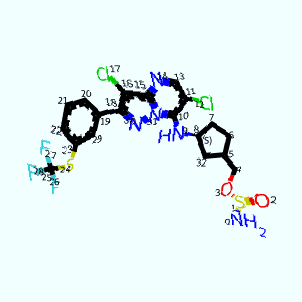 NS(=O)OCC1CC[C@H](Nc2c(Cl)cnc3c(Cl)c(-c4cccc(SC(F)(F)F)c4)nn23)C1